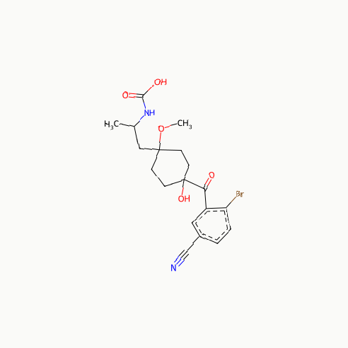 COC1(CC(C)NC(=O)O)CCC(O)(C(=O)c2cc(C#N)ccc2Br)CC1